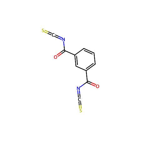 O=C(N=C=S)c1cccc(C(=O)N=C=S)c1